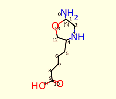 N[C@@H]1CNC(CCCCC(=O)O)CO1